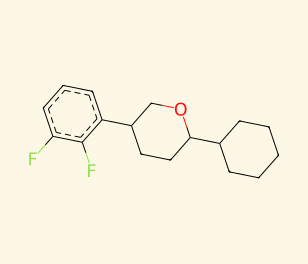 Fc1cccc(C2CCC(C3CCCCC3)OC2)c1F